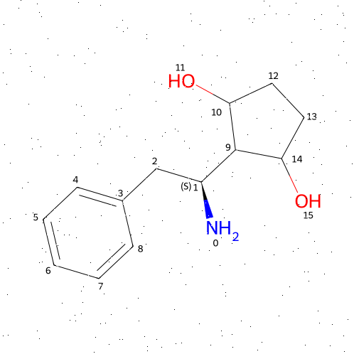 N[C@@H](Cc1ccccc1)C1C(O)CCC1O